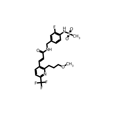 COCCCc1nc(C(F)(F)F)ccc1/C=C/C(=O)NCc1ccc(NS(C)(=O)=O)c(F)c1